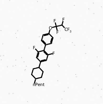 CCCCCC1CCC(c2cc(F)c(-c3ccc(OC(F)(F)C(F)C(F)(F)F)cc3)c(F)c2)CC1